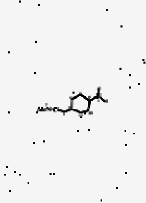 CNCCC1CCC(N(C)C)CC1